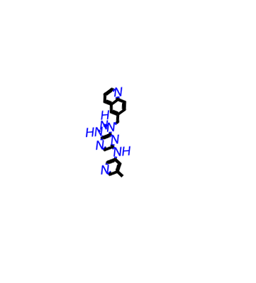 Cc1cncc(Nc2cnc3c(n2)N(Cc2ccc4ncccc4c2)NN3)c1